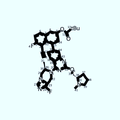 C#Cc1c(F)ccc2cc(OC(=O)C(C)(C)C)cc(-c3ccc4c(N5Cc6c(F)ncn6C[C@H]5C)nc(OC[C@@H]5CCCN5C)nc4c3)c12